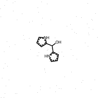 OC(c1ccc[nH]1)c1ccc[nH]1